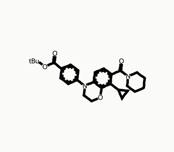 CC(C)(C)OC(=O)c1ccc(N2CCOc3c2ccc(C(=O)N2CCCCC2)c3C2CC2)cc1